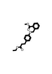 CCOC(=O)CCc1ccc(OCc2ccccc2C(=O)OC)cc1